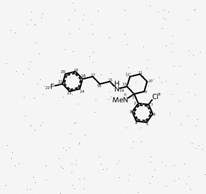 CNC1(c2ccccc2Cl)CCCCC1NCCCc1ccc(F)cc1